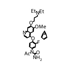 CCN(CC)CCCOc1cc2nccc(Oc3ccc(N(C(C)=O)C(N)=O)cc3F)c2cc1OC.c1cc2cc-2c1